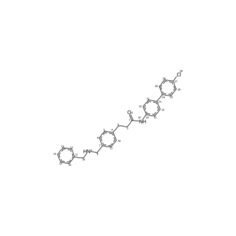 O=C(CCc1ccc(CNCc2ccccc2)cc1)Nc1ccc(-c2ccc(Cl)cc2)cc1